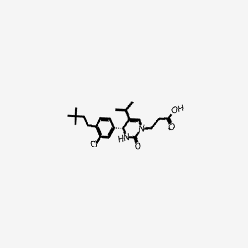 CC(C)C1=CN(CCC(=O)O)C(=O)N[C@@H]1c1ccc(CCC(C)(C)C)c(Cl)c1